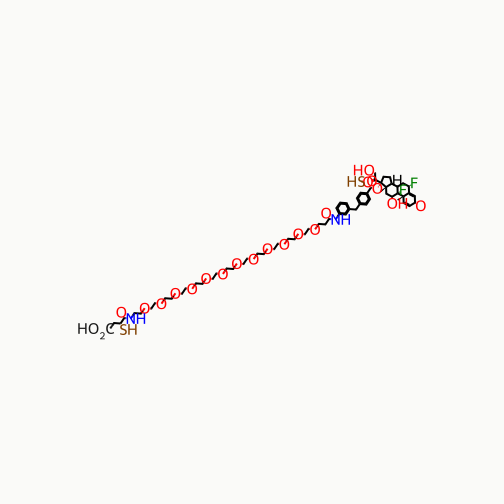 C[C@]12C=CC(=O)C=C1[C@@H](F)C[C@H]1C3CC[C@](O[C@@H](OS)c4ccc(Cc5cccc(NC(=O)CCOCCOCCOCCOCCOCCOCCOCCOCCOCCOCCOCCOCCNC(=O)C(S)CC(=O)O)c5)cc4)(C(=O)CO)[C@@]3(C)C[C@H](O)[C@@]12F